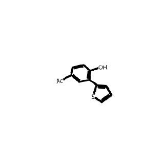 CC(=O)c1ccc(O)c(-c2cccs2)c1